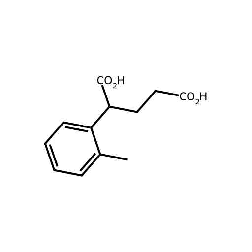 Cc1ccccc1C(CCC(=O)O)C(=O)O